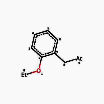 CCOc1ccccc1CC(C)=O